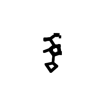 Cc1c(C2CCC2)noc1C(N)=O